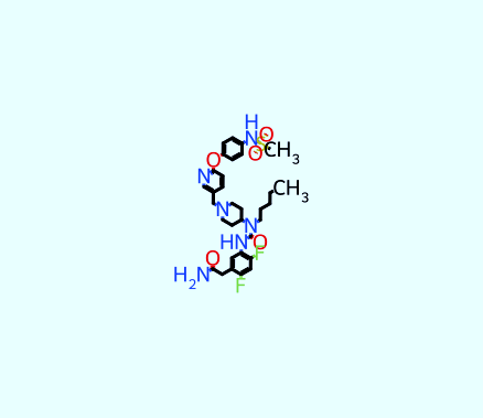 CCCCCN(C(=O)Nc1cc(CC(N)=O)c(F)cc1F)C1CCN(Cc2ccc(Oc3ccc(NS(C)(=O)=O)cc3)nc2)CC1